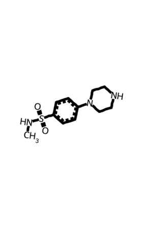 CNS(=O)(=O)c1ccc(N2CCNCC2)cc1